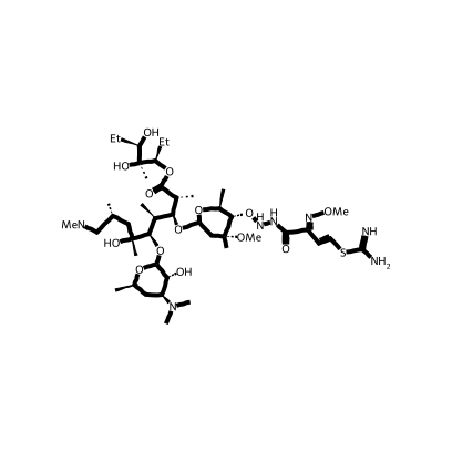 CC[C@@H](O)[C@](C)(O)[C@@H](CC)OC(=O)[C@H](C)[C@@H](OC1C[C@@](C)(OC)[C@@H](ONNC(=O)C(/C=C/SC(=N)N)=NOC)[C@H](C)O1)[C@H](C)[C@@H](OC1O[C@H](C)C[C@H](N(C)C)[C@H]1O)[C@](C)(O)C[C@@H](C)CNC